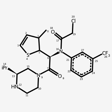 CC1C=CSC1[C@H](C(=O)N1CCN[C@@H](C(C)C)C1)N(C(=O)CCl)c1cccc(C(F)(F)F)c1